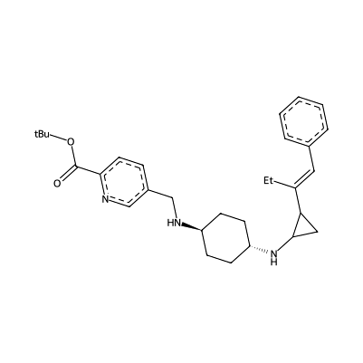 CC/C(=C\c1ccccc1)C1CC1N[C@H]1CC[C@H](NCc2ccc(C(=O)OC(C)(C)C)nc2)CC1